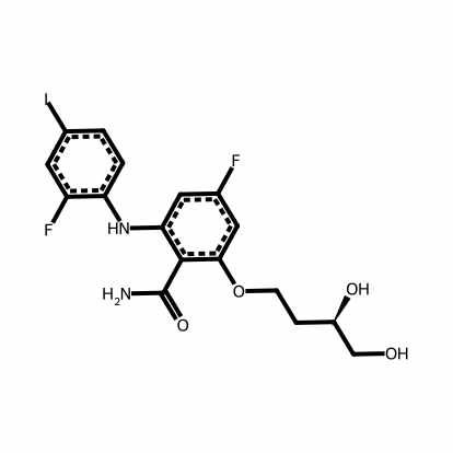 NC(=O)c1c(Nc2ccc(I)cc2F)cc(F)cc1OCC[C@@H](O)CO